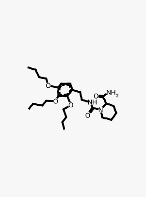 CCCCOc1ccc(CCNC(=O)N2CCCCC2C(N)=O)c(OCCCC)c1OCCCC